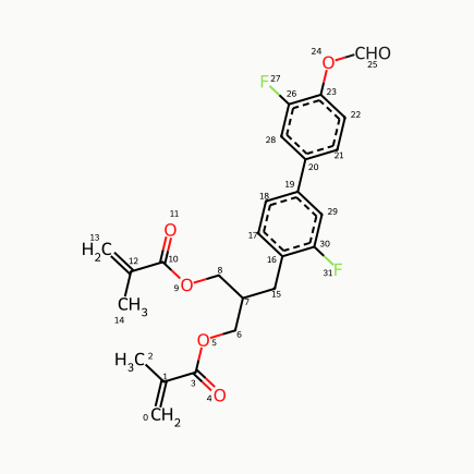 C=C(C)C(=O)OCC(COC(=O)C(=C)C)Cc1ccc(-c2ccc(OC=O)c(F)c2)cc1F